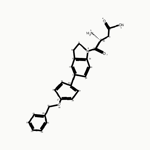 N[C@H](CC(=O)O)C(=O)N1CCc2cc(-c3ccc(OCc4ccccc4)cc3)ccc21